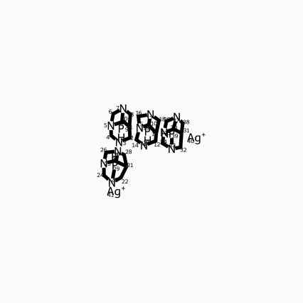 C1C2CN3CN1CN(C2)P3.C1C2CN3CN1CN(C2)P3.C1C2CN3CN1CN(C2)P3.C1C2CN3CN1CN(C2)P3.[Ag+].[Ag+]